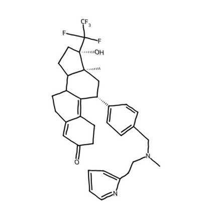 CN(CCc1ccccn1)Cc1ccc([C@H]2C[C@@]3(C)C(CC[C@@]3(O)C(F)(F)C(F)(F)F)C3CCC4=CC(=O)CCC4=C32)cc1